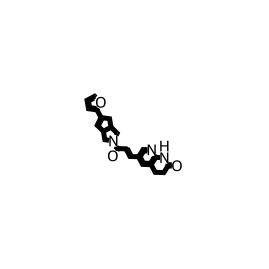 O=C1CCc2cc(/C=C/C(=O)N3CC4C=C(c5ccco5)CC4C3)cnc2N1